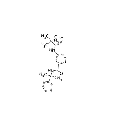 [CH2]C(C)(C)[C@H](C=O)Nc1cccc(C(=O)NC(C)(C)c2ccccc2)c1